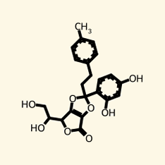 Cc1ccc(CCC2(c3ccc(O)cc3O)OC3=C(O2)C(C(O)CO)OC3=O)cc1